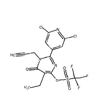 C#CCn1c(-c2cc(Cl)nc(Cl)c2)nc(OS(=O)(=O)C(F)(F)F)c(CC)c1=O